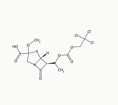 COC1(C(=O)O)CN2C(=O)[C@H](C(C)OC(=O)OCC(Cl)(Cl)Cl)[C@H]2S1